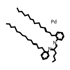 CCCCCCCCCCC=CCCc1ccccc1N=CC(CCCC)=Nc1ccccc1CCC=CCCCCCCCCCC.[Pd]